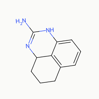 NC1=NC2CCCc3cccc(c32)N1